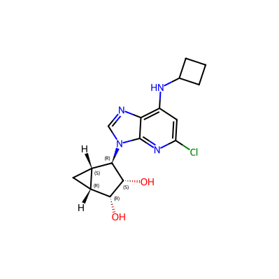 O[C@@H]1[C@H](O)[C@@H]2C[C@@H]2[C@H]1n1cnc2c(NC3CCC3)cc(Cl)nc21